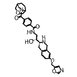 O=C(NC[C@@H](O)[C@@H]1Cc2ccc(OCc3cnco3)cc2CN1)c1ccc(C(=O)N2CC3CCC2COC3)cc1